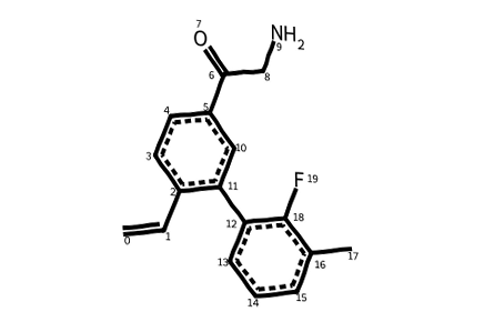 C=Cc1ccc(C(=O)CN)cc1-c1cccc(C)c1F